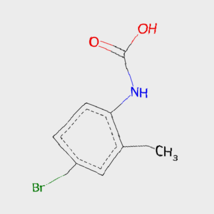 Cc1cc(Br)ccc1NC(=O)O